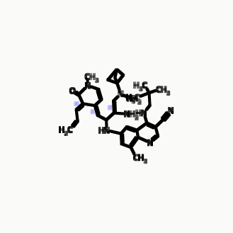 C=C/C=c1/c(=O)n(C)cc/c1=C\C(Nc1cc(C)c2ncc(C#N)c(NCC(C)(C)C)c2c1)/C(N)=C/N(N)C12CC(C1)C2